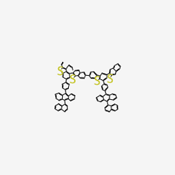 C=Cc1sc2cc(-c3ccc(-c4c5ccccc5c(-c5cccc6ccccc56)c5ccccc45)cc3)c3sc4c5ccc(-c6ccc7c(c6)sc6c(-c8ccc(-c9c%10ccccc%10c(-c%10cccc%11ccccc%10%11)c%10ccccc9%10)cc8)c8sc9cc%10ccccc%10cc9c8cc67)cc5ccc4c3c2c1/C=C\C